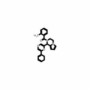 Cc1ccccc1C(=O)N1CCn2cccc2C1C1=COC=C(C2=CC=CCC2)O1